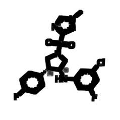 Cn1cnc(S(=O)(=O)N2C[C@@H](Nc3cc(F)cc(Cl)c3)[C@H](c3ccc(F)cc3)C2)c1